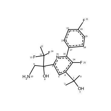 CC(C)(O)c1cc(C(O)(CN)C(C)(F)F)nc(-c2ccc(F)cc2)c1F